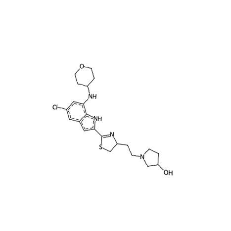 OC1CCN(CCC2CSC(c3cc4cc(Cl)cc(NC5CCOCC5)c4[nH]3)=N2)C1